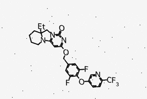 CCC12CCCCN1c1cc(OCc3cc(F)c(Oc4ccc(C(F)(F)F)nc4)c(F)c3)nc(=O)n1C2